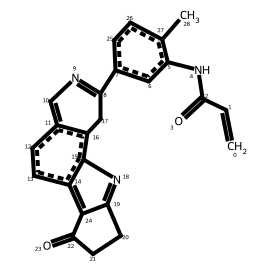 C=CC(=O)Nc1cc(C2=NC=c3ccc4c(c3C2)N=C2CCC(=O)C=42)ccc1C